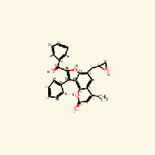 Cc1cc(=O)oc2c1cc(CC1CO1)c1oc(C(=O)c3ccccc3)c(-c3ccccc3)c12